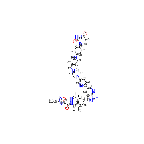 Cc1cc(-c2n[nH]c3ncc(-c4ccc(N5CCN(CC6CCN(c7ccc(N8CCC(=O)NC8=O)cc7)CC6)CC5)cn4)cc23)ccc1C(C)NC(=O)c1nc(C(C)(C)C)no1